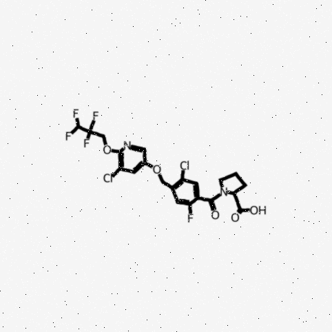 O=C(O)C1CCCN1C(=O)c1cc(Cl)c(COc2cnc(OCC(F)(F)C(F)F)c(Cl)c2)cc1F